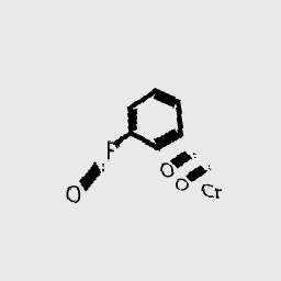 Fc1ccccc1.[C]=O.[C]=O.[C]=O.[Cr]